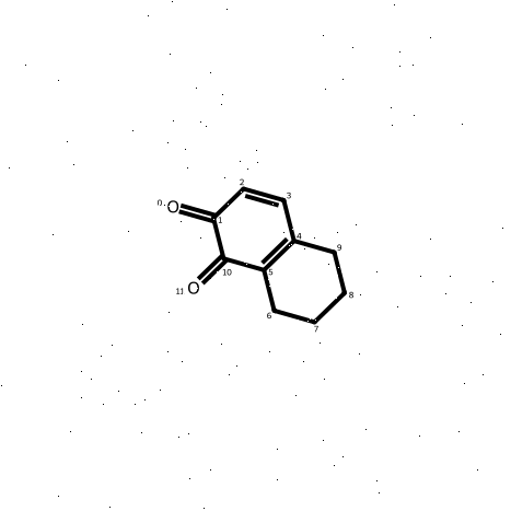 O=C1C=CC2=C(CCCC2)C1=O